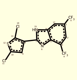 FC(F)(F)c1cc(C(F)(F)F)c2nc(-c3cc(Cl)sc3Cl)[nH]c2c1